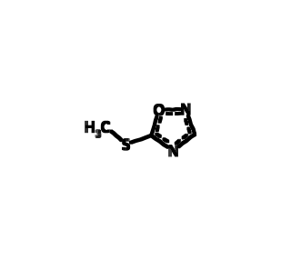 CSc1ncno1